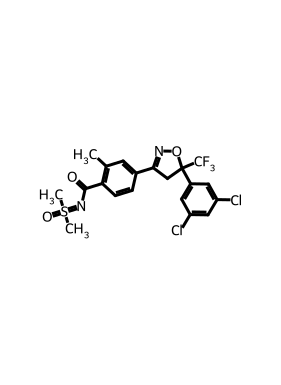 Cc1cc(C2=NOC(c3cc(Cl)cc(Cl)c3)(C(F)(F)F)C2)ccc1C(=O)N=S(C)(C)=O